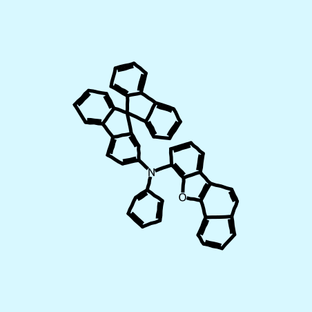 c1ccc(N(c2ccc3c(c2)C2(c4ccccc4-c4ccccc42)c2ccccc2-3)c2cccc3c2oc2c4ccccc4ccc32)cc1